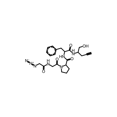 C#CCC(CO)NC(=O)C(Cc1ccccc1)NC(=O)C1CCCN1C(=O)CNC(=O)CN=[N+]=[N-]